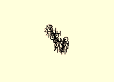 [2H]C(NS(=O)(=O)c1ccc(OCCC)c(-c2nc3c(C([2H])([2H])C([2H])([2H])C)nn(C)c3c(=O)[nH]2)c1)C([2H])([2H])C1CCCN1C